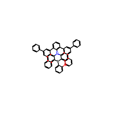 c1ccc(-c2cc(-c3ccccc3)cc(-c3cccc(-c4cc(-c5ccccc5)cc(-c5ccccc5)c4)c3N3c4ccccc4B4c5ccccc5Oc5cccc3c54)c2)cc1